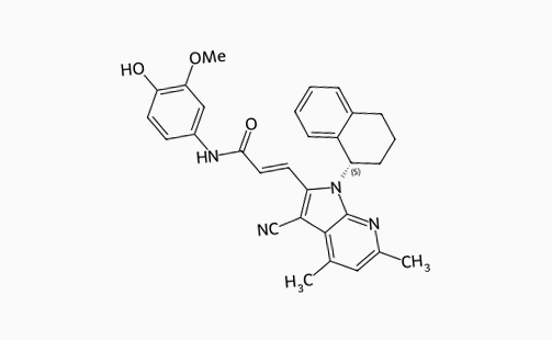 COc1cc(NC(=O)C=Cc2c(C#N)c3c(C)cc(C)nc3n2[C@H]2CCCc3ccccc32)ccc1O